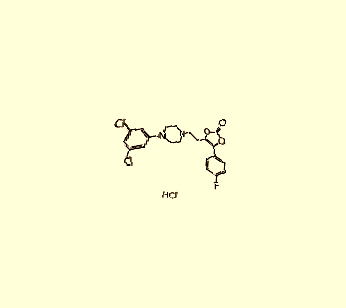 Cl.O=c1oc(CCN2CCN(c3cc(Cl)cc(Cl)c3)CC2)c(-c2ccc(F)cc2)o1